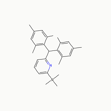 Cc1cc(C)c(C(c2cccc([Si](C)(C)C)n2)c2c(C)cc(C)cc2C)c(C)c1